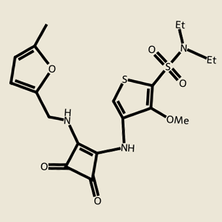 CCN(CC)S(=O)(=O)c1scc(Nc2c(NCc3ccc(C)o3)c(=O)c2=O)c1OC